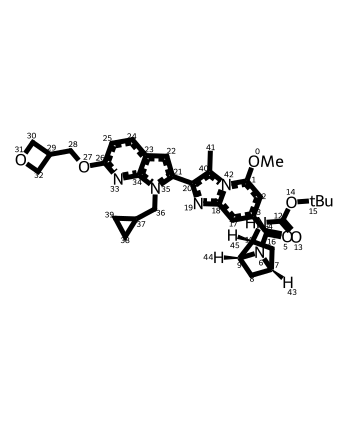 COc1cc(C(=O)N2[C@H]3C[C@@H]2[C@H](NC(=O)OC(C)(C)C)C3)cc2nc(-c3cc4ccc(OCC5COC5)nc4n3CC3CC3)c(C)n12